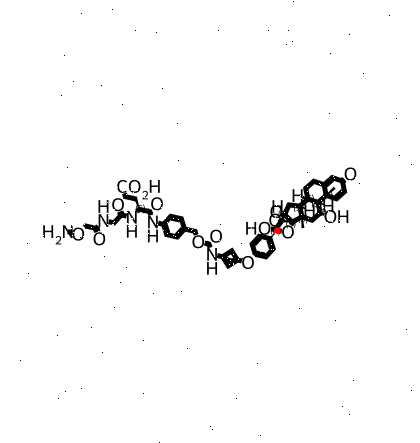 C[C@]12C=CC(=O)C=C1CC[C@@H]1[C@@H]2[C@@H](O)C[C@@]2(C)[C@H]1C[C@H]1O[C@@H](c3ccc(OC45CC(NC(=O)OCc6ccc(NC(=O)[C@H](CCC(=O)O)NC(=O)CNC(=O)CON)cc6)(C4)C5)cc3)O[C@]12C(=O)CO